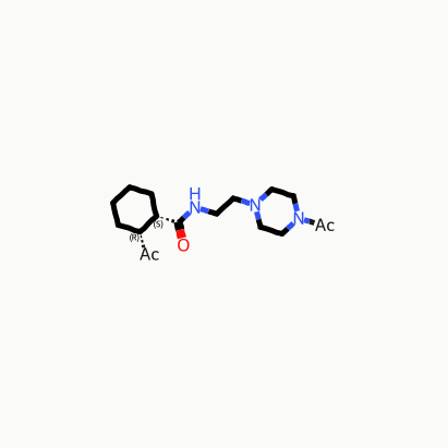 CC(=O)[C@@H]1CCCC[C@@H]1C(=O)NCCN1CCN(C(C)=O)CC1